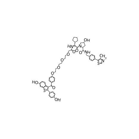 Cc1ncsc1-c1ccc(CNC(=O)C2CC(O)CN2C(=O)[C@@H](NC(=O)COCCOCCOCCOc2ccc(C(=O)c3c(-c4ccc(O)cc4)sc4cc(O)ccc34)cc2)C2CCCC2)cc1